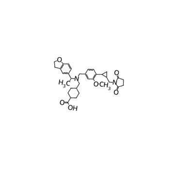 COc1cc(CN(CC2CCC(C(=O)O)CC2)C(C)c2ccc3c(c2)CCO3)ccc1C1CC1CN1C(=O)CCC1=O